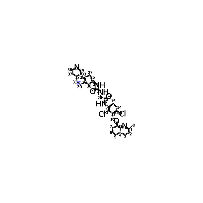 Cc1ccc2cccc(OCc3c(Cl)ccc(NC(=O)CNC(=O)Nc4cccc(/C=C\c5ccncc5)c4)c3Cl)c2n1